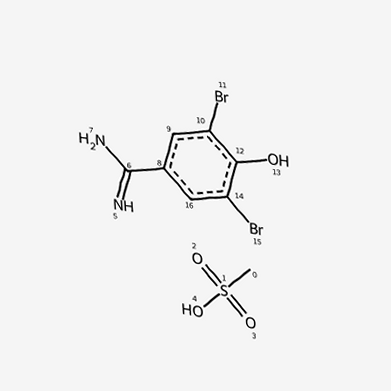 CS(=O)(=O)O.N=C(N)c1cc(Br)c(O)c(Br)c1